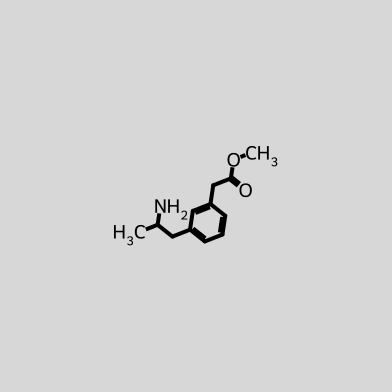 COC(=O)Cc1cccc(CC(C)N)c1